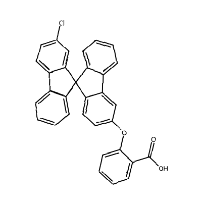 O=C(O)c1ccccc1Oc1ccc2c(c1)-c1ccccc1C21c2ccccc2-c2ccc(Cl)cc21